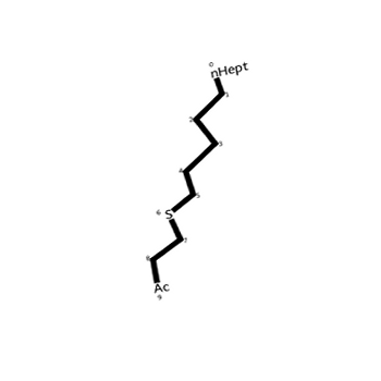 CCCCCCCCCCCCSCCC(C)=O